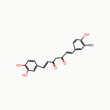 O=Nc1cc(/C=C/C(=O)CC(=O)/C=C/c2ccc(O)c(O)c2)ccc1O